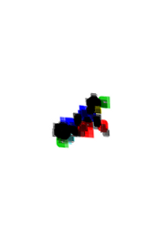 COCCn1c(-c2ccc(Cl)s2)nn(CC(=O)NC(CO)C2=CCCC(Cl)=C2F)c1=O